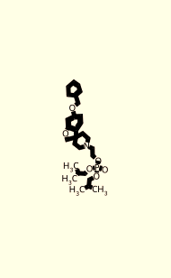 CC(C)COP(=O)(OCCN1CCC2(CC1)COc1cc(OCC3=CC=CCC3)ccc12)OCC(C)C